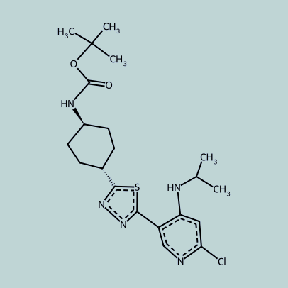 CC(C)Nc1cc(Cl)ncc1-c1nnc([C@H]2CC[C@H](NC(=O)OC(C)(C)C)CC2)s1